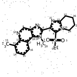 CCS(=O)(=O)c1c(-c2nc3cnc4c(C(F)(F)F)cccc4c3n2C)nc2n1CCCC2